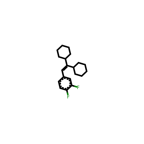 Fc1ccc(C=C(C2CCCCC2)C2CCCCC2)cc1F